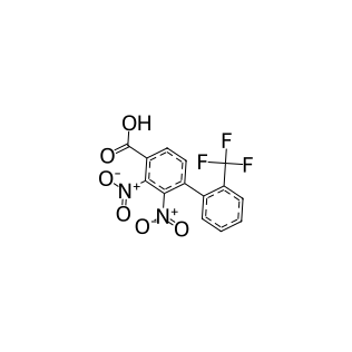 O=C(O)c1ccc(-c2ccccc2C(F)(F)F)c([N+](=O)[O-])c1[N+](=O)[O-]